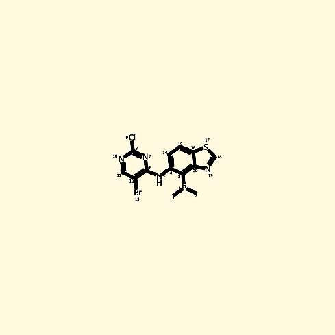 CP(C)c1c(Nc2nc(Cl)ncc2Br)ccc2scnc12